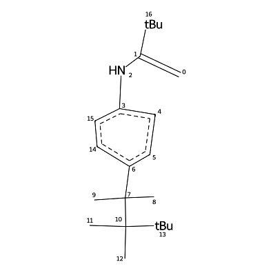 C=C(Nc1ccc(C(C)(C)C(C)(C)C(C)(C)C)cc1)C(C)(C)C